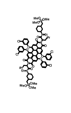 CCN(C(=O)C(CC(C)C)N1C(=O)c2cc(Oc3cccc(Cl)c3)c3c4c(Oc5cccc(Cl)c5)cc5c6c(cc(Oc7cccc(Cl)c7)c(c7c(Oc8cccc(Cl)c8)cc(c2c37)C1=O)c64)C(=O)N(C(CC(C)C)C(=O)N(CC)C1CCCC(C[Si](OC)(OC)OC)C1)C5=O)C1CCCC(C[Si](OC)(OC)OC)C1